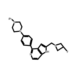 CC(C)N1CCN(c2ccc(-c3nccc4[nH]c(CN5CC(F)C5)cc34)cc2)CC1